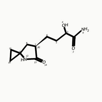 NC(=O)C(O)CC[C@@H]1CC2(CC2)NC1=O